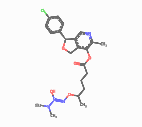 Cc1ncc2c(c1OC(=O)CCCC(C)O/N=[N+](\O)N(C)C(C)(C)C)CO[C@H]2c1ccc(Cl)cc1